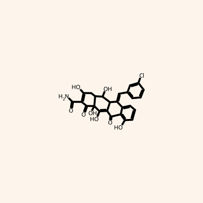 NC(=O)C1=C(O)CC2C(O)C3C(=C(O)C2(O)C1=O)C(=O)c1c(O)cccc1/C3=C\c1cccc(Cl)c1